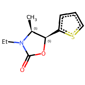 CCN1C(=O)O[C@H](c2cccs2)[C@@H]1C